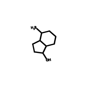 BC1CCCC2C(O)CCC12